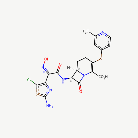 Nc1nc(/C(=N/O)C(=O)N[C@@H]2C(=O)N3C(C(=O)O)=C(Sc4ccnc(C(F)(F)F)c4)CC[C@H]23)c(Cl)s1